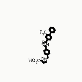 O=C(O)c1ccn(Cc2ccc(-c3noc(-c4ccc(-c5ccccc5)c(C(F)(F)F)c4)n3)cc2)n1